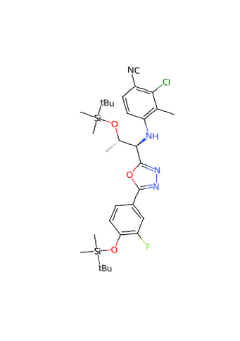 [C-]#[N+]c1ccc(N[C@@H](c2nnc(-c3ccc(O[Si](C)(C)C(C)(C)C)c(F)c3)o2)[C@H](C)O[Si](C)(C)C(C)(C)C)c(C)c1Cl